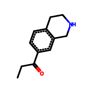 CCC(=O)c1ccc2c(c1)CNCC2